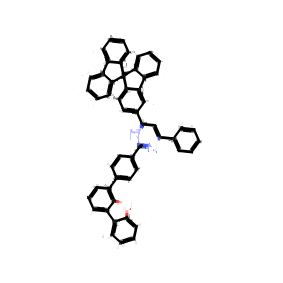 c1ccc(-c2cc(-c3ccc4c(c3)-c3ccccc3C43c4ccccc4-c4ccccc43)nc(-c3ccc(-c4cccc5c4oc4ccccc45)cc3)n2)cc1